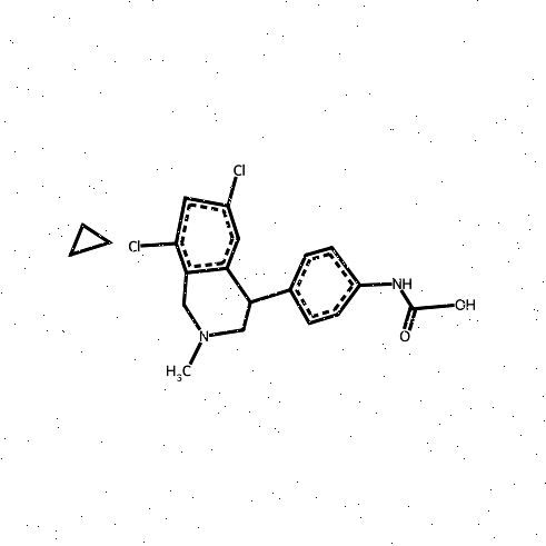 C1CC1.CN1Cc2c(Cl)cc(Cl)cc2C(c2ccc(NC(=O)O)cc2)C1